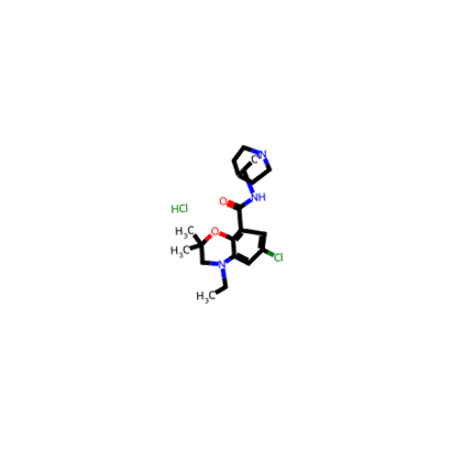 CCN1CC(C)(C)Oc2c(C(=O)NC3CN4CCC3CC4)cc(Cl)cc21.Cl